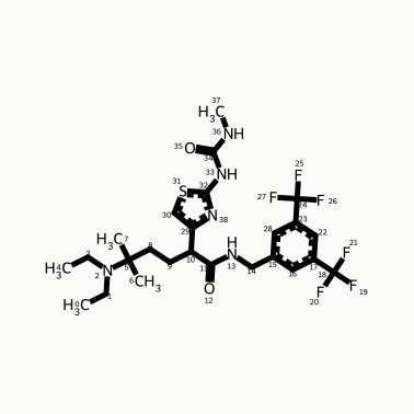 CCN(CC)C(C)(C)CCC(C(=O)NCc1cc(C(F)(F)F)cc(C(F)(F)F)c1)c1csc(NC(=O)NC)n1